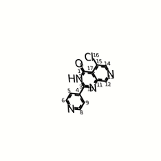 O=c1[nH]c(-c2ccncc2)nc2cncc(Cl)c12